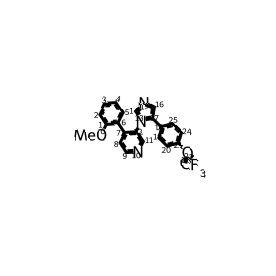 COc1ccccc1-c1ccncc1-n1cncc1-c1ccc(OC(F)(F)F)cc1